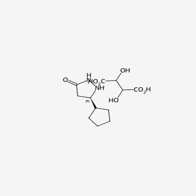 O=C(O)C(O)C(O)C(=O)O.O=C1C[C@H](C2CCCC2)NN1